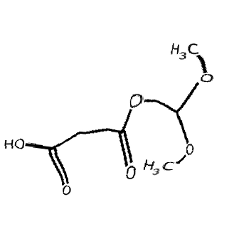 COC(OC)OC(=O)CC(=O)O